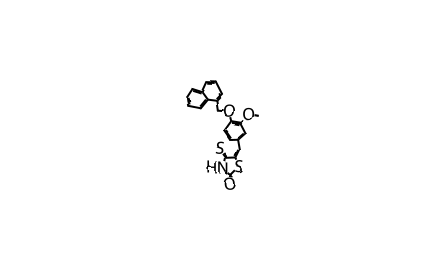 COc1cc(C=C2SC(=O)NC2=S)ccc1OCc1cccc2ccccc12